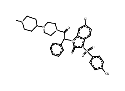 CN1CCC(N2CCN(C(=O)C(c3ccccc3)n3c(=O)n(S(=O)(=O)c4ccc(C#N)cc4)c4ccc(Cl)cc43)CC2)CC1